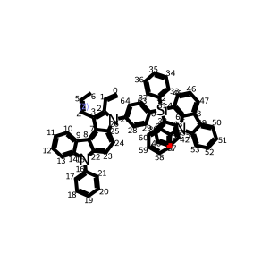 C=Cc1c(/C=C\C)c2c3c4ccccc4n(-c4ccccc4)c3ccc2n1-c1ccc([Si](c2ccccc2)(c2ccccc2)c2cccc3c4ccccc4n(-c4ccccc4)c23)cc1